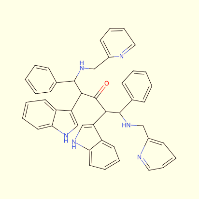 O=C(C(c1c[nH]c2ccccc12)C(NCc1ccccn1)c1ccccc1)C(c1c[nH]c2ccccc12)C(NCc1ccccn1)c1ccccc1